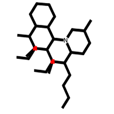 CCCCC(CCC)C1CCC(C)CN1C(C(CC)CCC)C1CCCCC1C(C)CC